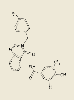 CCc1ccc(Cn2cnc3cccc(NC(=O)c4cc(Cl)c(O)c(C(F)(F)F)c4)c3c2=O)cc1